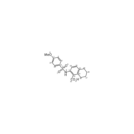 COc1ccc(S(=O)(=O)Nc2ccc3c(c2C(=O)O)CCCC3)cc1